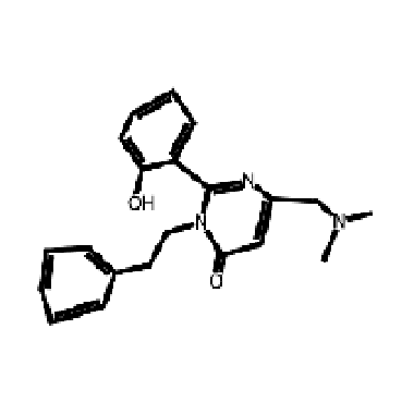 CN(C)Cc1cc(=O)n(CCc2ccccc2)c(-c2ccccc2O)n1